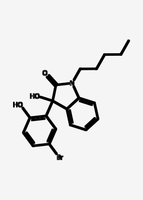 CCCCCN1C(=O)C(O)(c2cc(Br)ccc2O)c2ccccc21